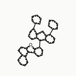 c1ccc(-c2cccc3c(-c4cccc5c4oc4ccc6ccccc6c45)c4cccc(-c5ccccc5)c4cc23)cc1